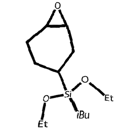 CCO[Si](OCC)(C(C)CC)C1CCC2OC2C1